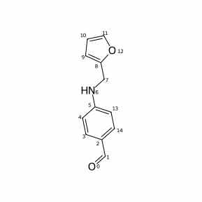 O=Cc1ccc(NCc2ccco2)cc1